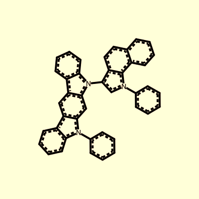 c1ccc(-n2cc(-n3c4ccccc4c4cc5c6ccccc6n(-c6ccccc6)c5cc43)c3ccc4ccccc4c32)cc1